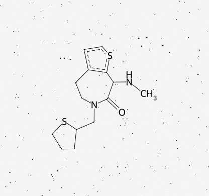 CNC1C(=O)N(CC2CCCS2)CCc2ccsc21